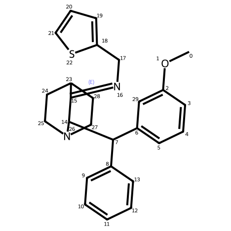 COc1cccc(C(c2ccccc2)C2/C(=N/Cc3cccs3)C3CCN2CC3)c1